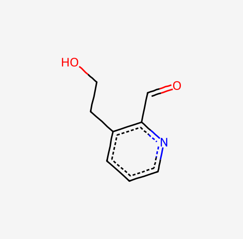 O=Cc1ncccc1CCO